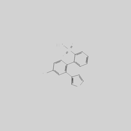 NS(=O)(=O)c1ccccc1-c1ccc(Cl)cc1-c1ccsc1